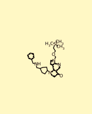 C[Si](C)(C)CCOCn1ccc2c1ncc1c(=O)ccn(C3CCC(CNCc4ccccc4)CC3)c12